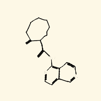 O=C1CCCCCCC1C(=O)Nc1nccc2cnccc12